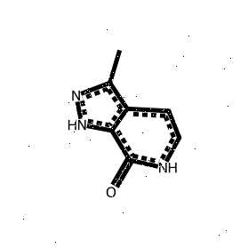 Cc1n[nH]c2c(=O)[nH]ccc12